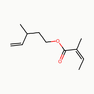 C=CC(C)CCOC(=O)/C(C)=C\C